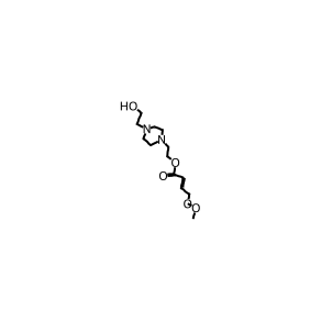 COOC/C=C/C(=O)OCCN1CCN(CCO)CC1